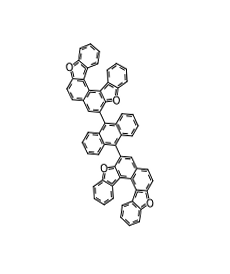 c1ccc2c(c1)oc1ccc3cc(-c4c5ccccc5c(-c5cc6ccc7oc8ccccc8c7c6c6c5oc5ccccc56)c5ccccc45)c4oc5ccccc5c4c3c12